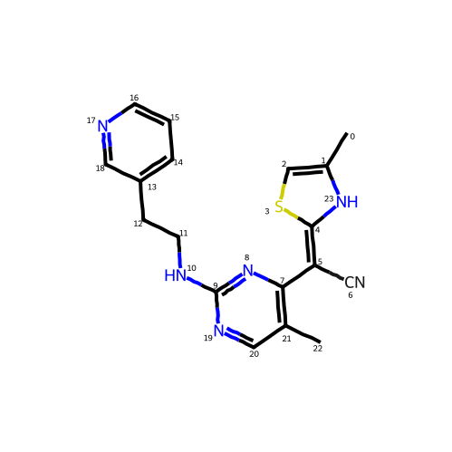 CC1=CS/C(=C(/C#N)c2nc(NCCc3cccnc3)ncc2C)N1